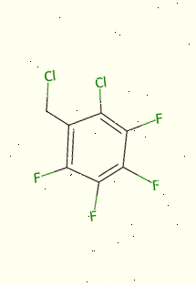 Fc1c(F)c(F)c(CCl)c(Cl)c1F